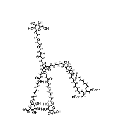 CCCCC/C=C\C/C=C\CCCCCCCCC1(CCCCCCCC/C=C\C/C=C\CCCCC)OC[C@H](CN(C)CCCCCC(=O)NC(COCCC(=O)NCCOCCOCCO[C@@H]2OC(CO)[C@@H](O)C(O)C2O)(COCCC(=O)NCCOCCOCCO[C@@H]2OC(CO)[C@@H](O)C(O)C2O)COCCC(=O)NCCOCCOCCO[C@@H]2OC(CO)[C@@H](O)C(O)C2O)O1